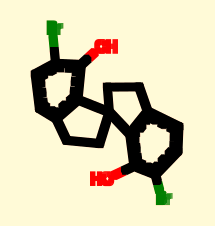 Oc1c(Br)ccc2c1C1(CC2)CCc2ccc(Br)c(O)c21